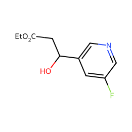 CCOC(=O)CC(O)c1cncc(F)c1